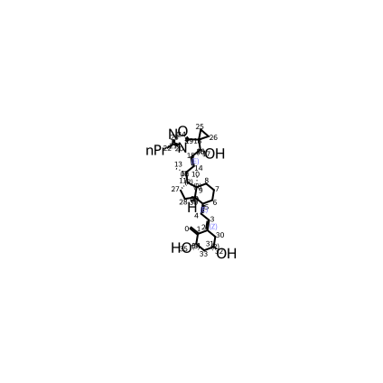 C=C1/C(=C\C=C2/CCC[C@]3(C)[C@@H]([C@H](C)/C=C/[C@@H](O)C4(c5nc(CCC)no5)CC4)CC[C@@H]23)C[C@@H](O)C[C@@H]1O